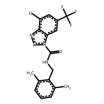 Cc1cccc(C)c1CNC(=O)n1nnc2c(Cl)cc(C(F)(F)F)cc21